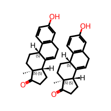 C[C@]12CC[C@H]3C(=CCc4cc(O)ccc43)[C@@H]1CCC2=O.C[C@]12CC[C@H]3C(=CCc4cc(O)ccc43)[C@@H]1CCC2=O